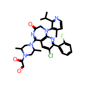 Cc1ccnc(C(C)C)c1N1CC(=O)N=C(N2CC(C)N(C(=O)C=O)CC2C)c2cc(Cl)c(-c3ccccc3F)nc21